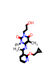 C/C(=N\c1c(C)c(=O)n(CCCO)c(=O)n1C(C)C)c1cccnc1OCC1CC1